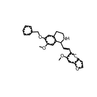 COc1cc2occc2cc1C=CC1NCCc2cc(OCc3ccccc3)c(OC)cc21